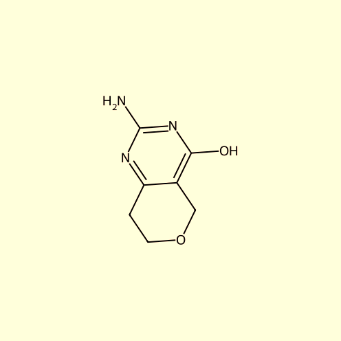 Nc1nc(O)c2c(n1)CCOC2